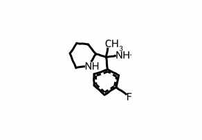 CC([NH])(c1cccc(F)c1)C1CCCCN1